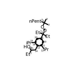 CCCCCC(C)(C)OOC(CC)(CC)c1cc(C(C)C)c(C[C](O)CC)c(C(C)C)c1